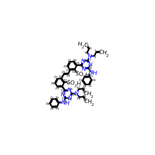 C=CCN(CC=C)c1nc(Nc2ccccc2)nc(-c2cccc(/C=C/c3cccc(-c4nc(Nc5ccccc5)nc(N(CC=C)CC=C)n4)c3S(=O)(=O)O)c2S(=O)(=O)O)n1